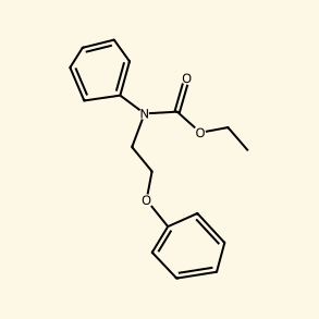 CCOC(=O)N(CCOc1ccccc1)c1ccccc1